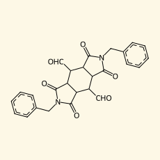 O=CC1C2C(=O)N(Cc3ccccc3)C(=O)C2C(C=O)C2C(=O)N(Cc3ccccc3)C(=O)C12